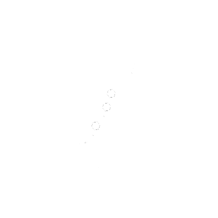 CCCCCC[C@@H](C)OC(=O)c1ccc(OC(=O)c2ccc(-c3ccc(OCCCOC(=O)C(F)(F)C(F)(F)C(F)(F)C(F)F)cc3)cc2)cc1